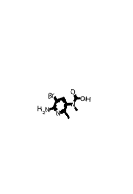 Cc1nc(N)c(Br)cc1N(C)C(=O)O